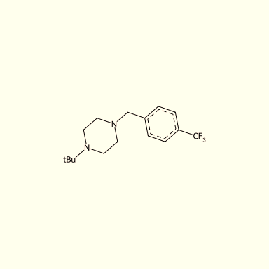 CC(C)(C)N1CCN(Cc2ccc(C(F)(F)F)cc2)CC1